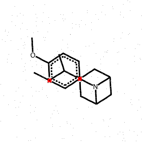 CCC(C)N1CC2CC(C1)N2c1ccc(OC)nc1